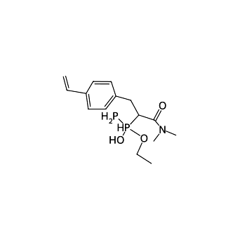 C=Cc1ccc(CC(C(=O)N(C)C)[PH](O)(P)OCC)cc1